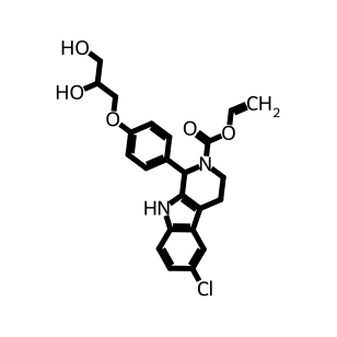 C=COC(=O)N1CCc2c([nH]c3ccc(Cl)cc23)C1c1ccc(OCC(O)CO)cc1